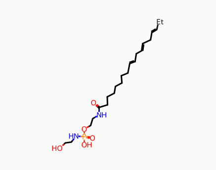 CCC=CCC=CCC=CCCCCCCCC(=O)NCCOP(=O)(O)NCCO